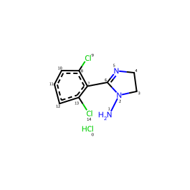 Cl.NN1CCN=C1c1c(Cl)cccc1Cl